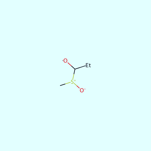 CCC([O])[S+](C)[O-]